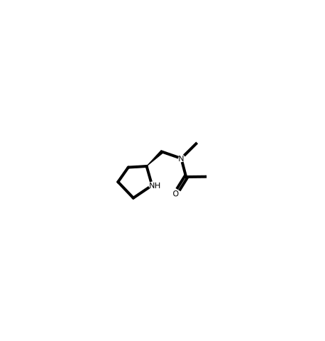 CC(=O)N(C)C[C@@H]1CCCN1